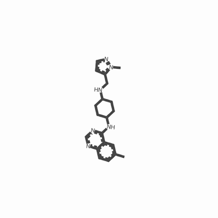 Cc1ccc2ncnc(NC3CCC(NCc4ccnn4C)CC3)c2c1